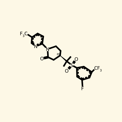 CC(C)([C@@H]1CCN(c2ccc(C(F)(F)F)cn2)C(=O)C1)S(=O)(=O)c1cc(F)cc(C(F)(F)F)c1